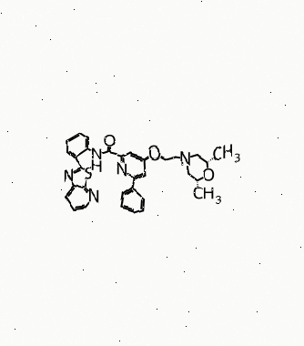 C[C@@H]1CN(CCOc2cc(C(=O)Nc3ccccc3-c3nc4cccnc4s3)nc(-c3ccccc3)c2)C[C@H](C)O1